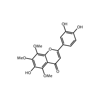 COc1c(O)c(OC)c2c(=O)cc(-c3ccc(O)c(O)c3)oc2c1OC